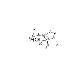 C[C@H]1CCN(C2CC2)[C@@]1(C)CO